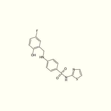 O=S(=O)(Nc1nccs1)c1ccc(NCc2cc(F)ccc2O)cc1